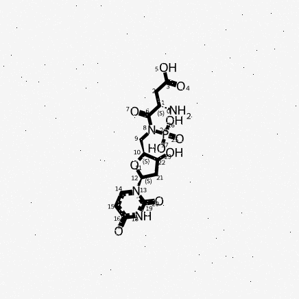 N[C@@H](CC(=O)O)C(=O)N(C[C@@H]1O[C@H](n2ccc(=O)[nH]c2=O)CC1O)P(=O)(O)O